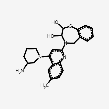 Cc1ccc2nc(N3Cc4ccccc4SC(O)C3O)cc(N3CCCC(N)C3)c2c1